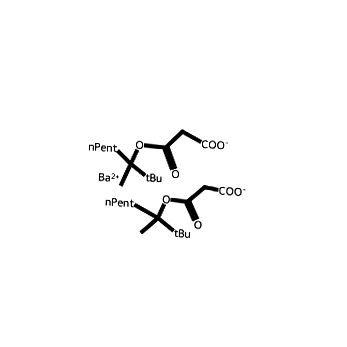 CCCCCC(C)(OC(=O)CC(=O)[O-])C(C)(C)C.CCCCCC(C)(OC(=O)CC(=O)[O-])C(C)(C)C.[Ba+2]